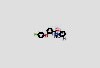 N#CN1[C@H]2CC[C@@H]1[C@H](NC(=O)c1cccc(Oc3ccc(F)cc3)c1)C2